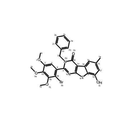 COc1cc(-c2nc3sc4c(O)cc(C)cc4c3c(=O)n2Cc2ccccc2)c(Br)c(OC)c1OC